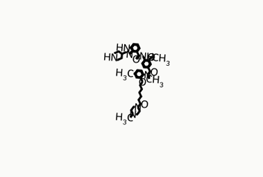 COc1cc(C(=O)N(C)c2ccc(C)cc2OCCCCCC(=O)N2CCN(C)CC2)ccc1NC(=O)c1cccc2[nH]c(C3CCNCC3)nc12